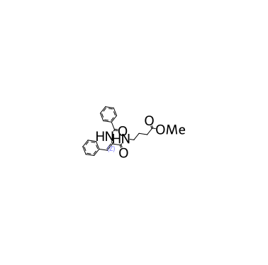 COC(=O)CCCNC(=O)/C(=C/c1ccccc1)NC(=O)c1ccccc1